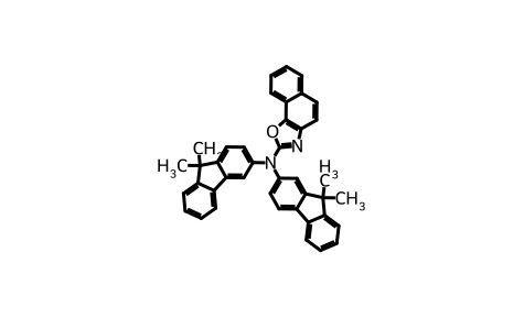 CC1(C)c2ccccc2-c2cc(N(c3ccc4c(c3)C(C)(C)c3ccccc3-4)c3nc4ccc5ccccc5c4o3)ccc21